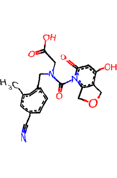 Cc1cc(C#N)ccc1CN(CC(=O)O)C(=O)n1c2c(c(O)cc1=O)COC2